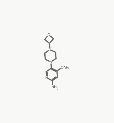 COc1cc(N)ncc1N1CCN(C2COC2)CC1